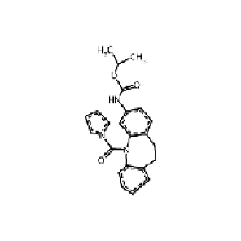 CC(C)OC(=O)Nc1ccc2c(c1)N(C(=O)n1cccc1)c1ccccc1CC2